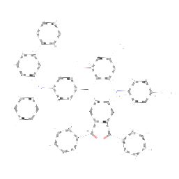 CC(C)(C)c1ccc(N(c2cccc(-c3ccccc3)c2)c2ccc3c(c2)Oc2cc(C(C)(C)C)cc4c2B3c2cc3c(-c5ccccc5)oc(-c5ccccc5)c3cc2N4c2ccc(C(C)(C)C)cc2)cc1